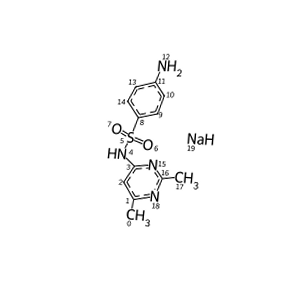 Cc1cc(NS(=O)(=O)c2ccc(N)cc2)nc(C)n1.[NaH]